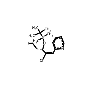 CC(C)(C)[Si](C)(C)O[C@@H](CCI)/C(Cl)=C\c1ccccn1